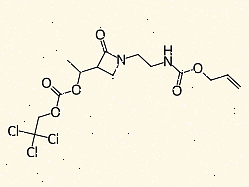 C=CCOC(=O)NCCN1[CH]C(C(C)OC(=O)OCC(Cl)(Cl)Cl)C1=O